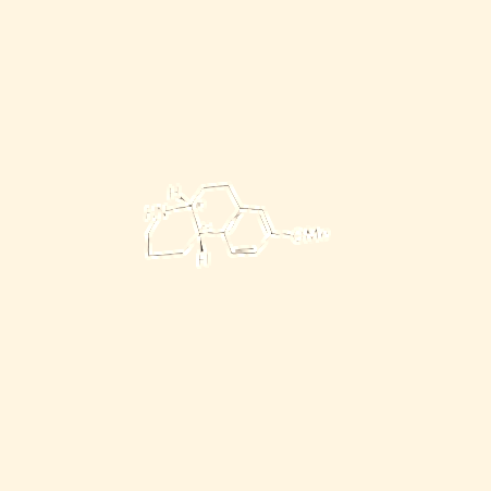 COc1ccc2c(c1)CC[C@H]1NCCC[C@@H]21